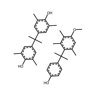 COc1cc(C)c(C(C)(C)c2ccc(O)cc2)c(C)c1C.Cc1cc(C(C)(C)c2cc(C)c(O)c(C)c2)cc(C)c1O